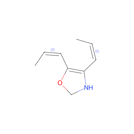 C/C=C\C1=C(/C=C\C)OCN1